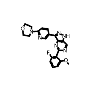 COc1cccc(F)c1-c1ncc2[nH]nc(-c3ccc(N4CCOCC4)nc3)c2n1